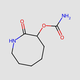 NC(=O)OC1CCCCCNC1=O